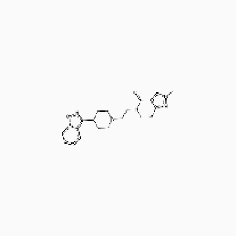 Cn1cc2c(n1)CCN(CCN1CCC(c3noc4ccccc34)CC1)C2=O